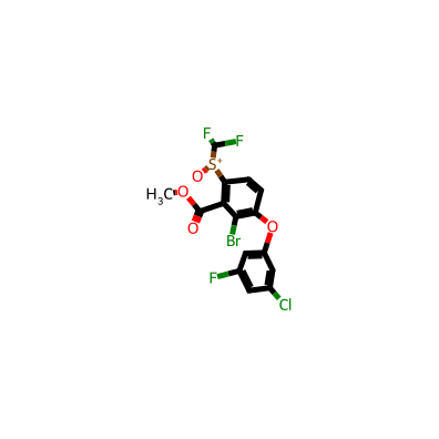 COC(=O)c1c([S+]([O-])C(F)F)ccc(Oc2cc(F)cc(Cl)c2)c1Br